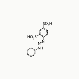 O=S(=O)(O)c1ccc(N=NNc2ccccc2)c(S(=O)(=O)O)c1